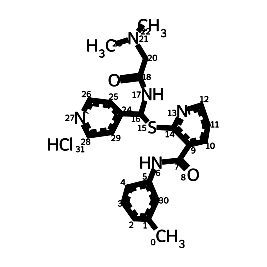 Cc1cccc(NC(=O)c2cccnc2SC(NC(=O)CN(C)C)c2ccncc2)c1.Cl